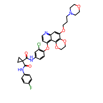 O=C(Nc1ccc(F)cc1)C1(C(=O)Nc2ccc(Oc3ccnc4cc(OCCCN5CCOCC5)c5c(c34)OCCO5)c(Cl)c2)CC1